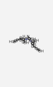 Nc1cc(O)c(/N=N/c2ccc(S(=O)(=O)CCOSOOO)cc2S(=O)(=O)O)cc1/N=N/c1ccc(S(=O)(=O)CCOSOOO)cc1S(=O)(=O)O